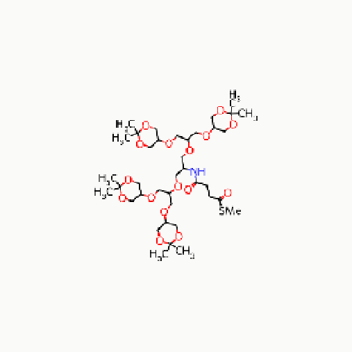 CSC(=O)CCC(=O)NC(COC(COC1COC(C)(C)OC1)COC1COC(C)(C)OC1)COC(COC1COC(C)(C)OC1)COC1COC(C)(C)OC1